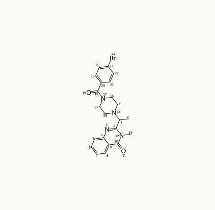 CC(c1nc2ccccc2c(=O)n1C)N1CCN(C(=O)c2ccc(Br)cc2)CC1